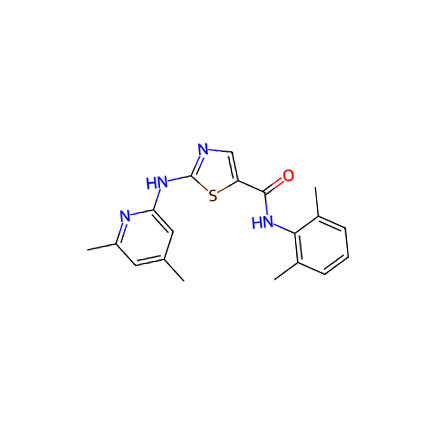 Cc1cc(C)nc(Nc2ncc(C(=O)Nc3c(C)cccc3C)s2)c1